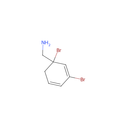 NCC1(Br)C=C(Br)C=CC1